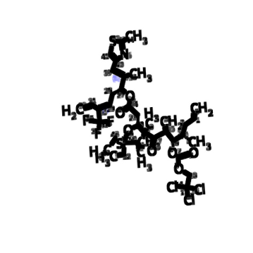 C=CC[C@H](C)[C@H](OC(=O)OCC(Cl)(Cl)Cl)C(=C)C(=O)C(C)(C)[C@H](CC(=O)O[C@@H](C/C=C(\C=C)C(F)(F)F)/C(C)=C/c1csc(C)n1)O[Si](CC)(CC)CC